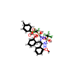 COc1ccccc1[C@@H](NS(=O)(=O)C(F)(F)F)[C@H](NS(=O)(=O)C(F)(F)F)c1ccccc1OS(=O)(=O)c1ccc(C)cc1